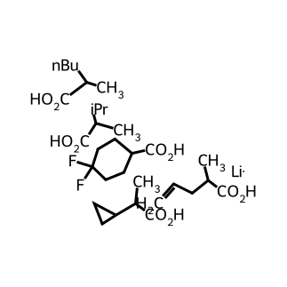 C=CCC(C)C(=O)O.CC(C(=O)O)C1CC1.CC(C)C(C)C(=O)O.CCCCC(C)C(=O)O.O=C(O)C1CCC(F)(F)CC1.[Li]